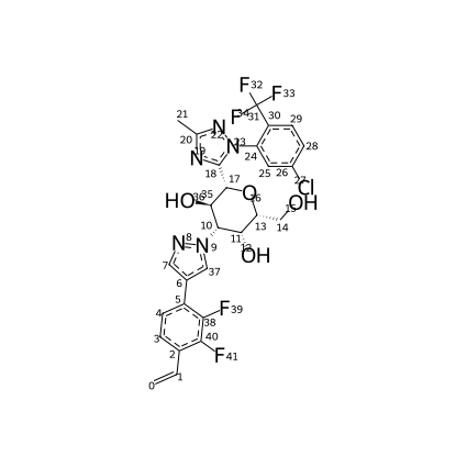 C=Cc1ccc(-c2cnn([C@H]3[C@@H](O)[C@@H](CO)O[C@@H](c4nc(C)nn4-c4cc(Cl)ccc4C(F)(F)F)[C@@H]3O)c2)c(F)c1F